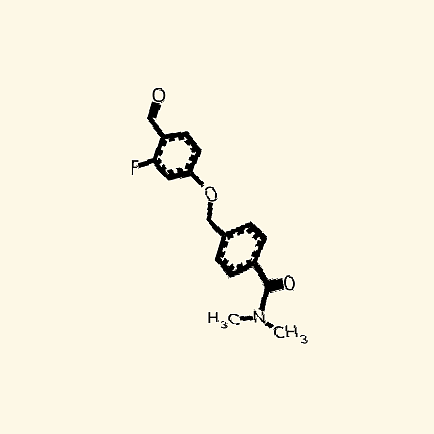 CN(C)C(=O)c1ccc(COc2ccc(C=O)c(F)c2)cc1